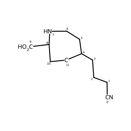 N#CCCCC1CCNC(C(=O)O)CC1